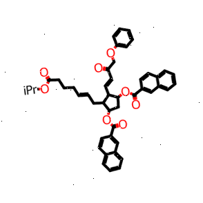 CC(C)OC(=O)CCCC=CCC1C(OC(=O)c2ccc3ccccc3c2)CC(OC(=O)c2ccc3ccccc3c2)C1C=CC(=O)COc1ccccc1